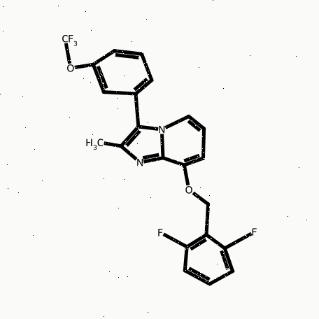 Cc1nc2c(OCc3c(F)cccc3F)cccn2c1-c1cccc(OC(F)(F)F)c1